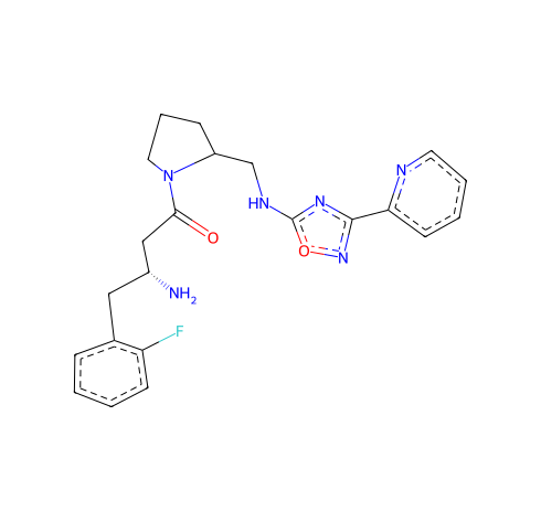 N[C@@H](CC(=O)N1CCCC1CNc1nc(-c2ccccn2)no1)Cc1ccccc1F